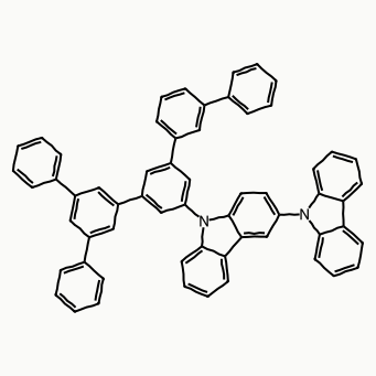 c1ccc(-c2cccc(-c3cc(-c4cc(-c5ccccc5)cc(-c5ccccc5)c4)cc(-n4c5ccccc5c5cc(-n6c7ccccc7c7ccccc76)ccc54)c3)c2)cc1